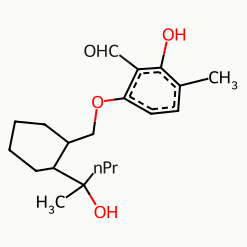 CCCC(C)(O)C1CCCCC1COc1ccc(C)c(O)c1C=O